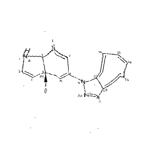 I[C@@]12C=CNC1N=CC(n1nnc3ccccc31)=C2